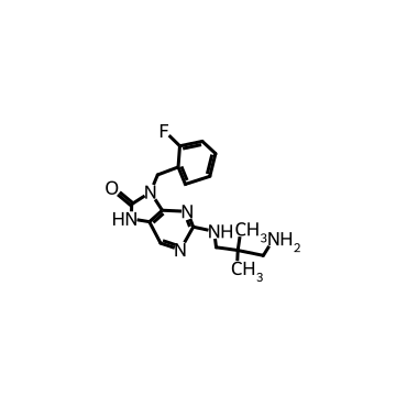 CC(C)(CN)CNc1ncc2[nH]c(=O)n(Cc3ccccc3F)c2n1